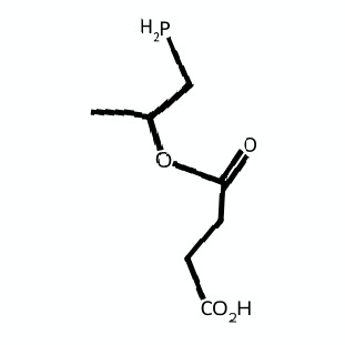 CC(CP)OC(=O)CCC(=O)O